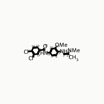 CN/C(C)=C\Nc1ccc(NC(=O)c2ccc(Cl)c(Cl)c2)cc1OC